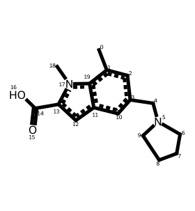 Cc1cc(CN2CCCC2)cc2cc(C(=O)O)n(C)c12